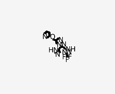 FC(F)(F)c1n[nH]c(-c2nc3ncc(COc4cccnc4)cn3c2-c2cnc[nH]2)n1